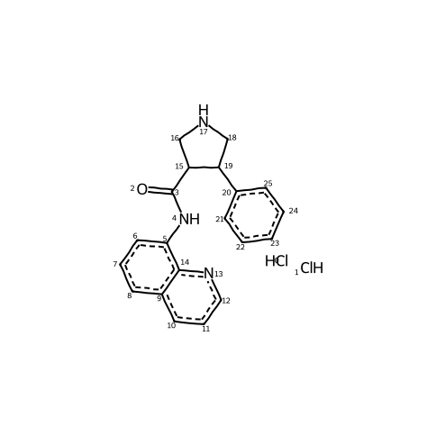 Cl.Cl.O=C(Nc1cccc2cccnc12)C1CNCC1c1ccccc1